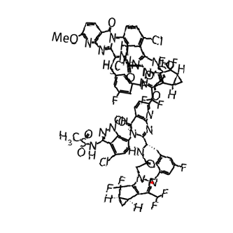 COc1ccc2c(=O)n(-c3ccc(Cl)c4c(NS(=O)(=O)CCOc5ccc6c(=O)n(-c7ccc(Cl)c8c(NS(C)(=O)=O)nn(C)c78)c([C@H](Cc7cc(F)cc(F)c7)NC(=O)Cn7nc(C(F)F)c8c7C(F)(F)[C@@H]7C[C@H]87)nc6n5)nn(C)c34)c(C(Cc3cc(F)cc(F)c3)NC(=O)Cn3nc(C(F)F)c4c3C(F)(F)[C@@H]3C[C@H]43)nc2n1